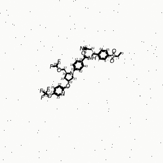 CCS(=O)(=O)c1ccc([C@@H](CC#N)NC(=O)c2ccc(N3C[C@@H](Oc4ccc(OC(F)(F)F)cn4)C[C@H]3COC(F)F)cc2)cc1